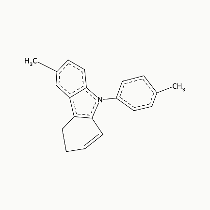 Cc1ccc(-n2c3c(c4cc(C)ccc42)CCC=C3)cc1